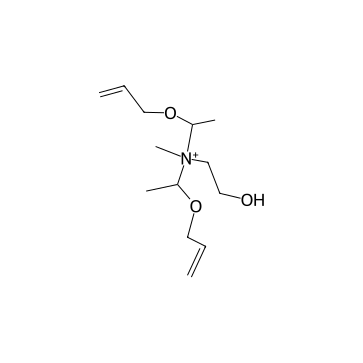 C=CCOC(C)[N+](C)(CCO)C(C)OCC=C